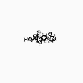 O=C1COCCN1c1ccc2c(c1)OCC1C(CO)OC(=O)N21